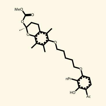 CCCc1c(OCCCCCOc2c(C)c(C)c3c(c2C)CC[C@](C)(OC(=O)OC)O3)ccc(C(C)=O)c1O